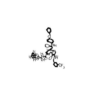 CC[C@H](NC(=O)[C@@H]1C[C@@](C)(CC(=O)Nc2ccc(OCc3ccccc3)cc2)c2ncc(NCc3cccc(C(F)(F)F)c3)c(=O)n21)B1O[C@@H]2C[C@@H]3C[C@@H](C3(C)C)[C@]2(C)O1